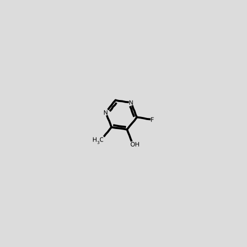 Cc1ncnc(F)c1O